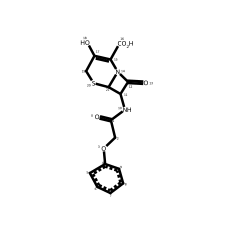 O=C(COc1ccccc1)NC1C(=O)N2C(C(=O)O)=C(O)CSC12